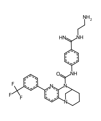 N=C(NCCN)c1ccc(NC(=O)N2c3nc(-c4cccc(C(F)(F)F)c4)ccc3N3CCCC2C3)cc1